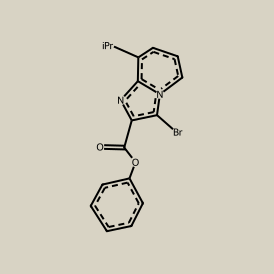 CC(C)c1cccn2c(Br)c(C(=O)Oc3ccccc3)nc12